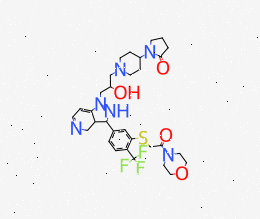 O=C(CSc1cc(C2NN(CC(O)CN3CCC(N4CCCC4=O)CC3)C3=CC=NCC32)ccc1C(F)(F)F)N1CCOCC1